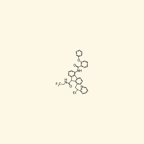 CCC(Cc1cccc2c1C(C(=O)NCC(F)(F)F)c1cccc(NC(=O)c3ccccc3Oc3ccccc3)c1-2)c1ccccn1